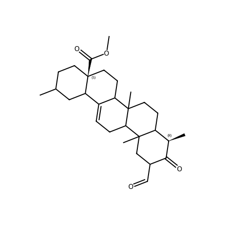 COC(=O)[C@]12CCC(C)CC1C1=CCC3C(C)(CCC4[C@@H](C)C(=O)C(C=O)CC43C)C1CC2